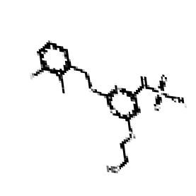 CS(=O)(=O)Nc1cc(OCCO)nc(SCc2cccc(F)c2F)n1